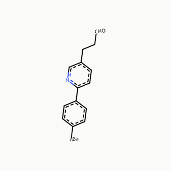 CCCCc1ccc(-c2ccc(CCC=O)cn2)cc1